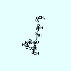 CC(=O)CC(=O)CCc1ccc(NC(=O)CCCC(=O)NCCCCCC(=O)NCCCN2Cc3cc(C(=O)N(C)Cc4nc5ccccc5[nH]4)ccc3N[C@@H](CC(=O)O)C2=O)cc1